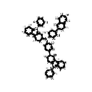 c1ccc(-n2c3ccccc3c3cc(-c4ccc(N(c5ccc(-c6ccc7ccccc7c6)cc5)c5ccc6c7ccccc7n(-c7ccccc7)c6c5)cc4)ccc32)cc1